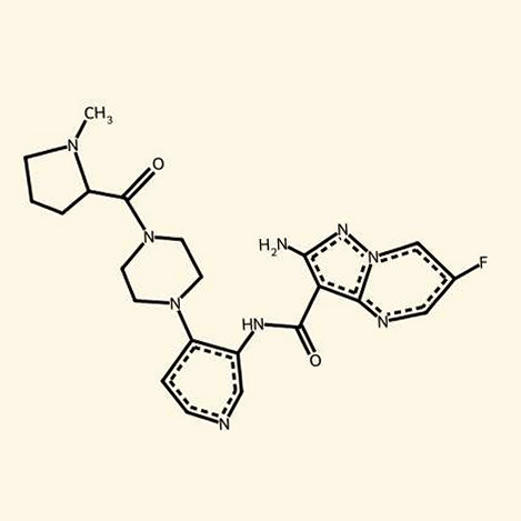 CN1CCCC1C(=O)N1CCN(c2ccncc2NC(=O)c2c(N)nn3cc(F)cnc23)CC1